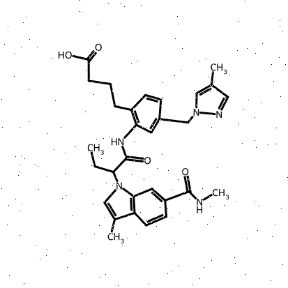 CCC(C(=O)Nc1cc(Cn2cc(C)cn2)ccc1CCCC(=O)O)n1cc(C)c2ccc(C(=O)NC)cc21